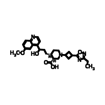 CCc1noc(C2CC(N3CC[C@@H](CCC(O)c4ccnc5ccc(OC)cc45)[C@@H](C(=O)O)C3)C2)n1